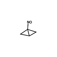 O=NC12CC1C2